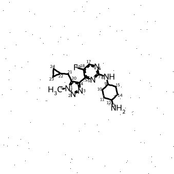 Cn1nnc(-c2nc(NC3CCC(N)CC3)ncc2F)c1CC1CC1